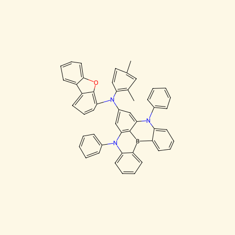 Cc1ccc(N(c2cc3c4c(c2)N(c2ccccc2)c2ccccc2B4c2ccccc2N3c2ccccc2)c2cccc3c2oc2ccccc23)c(C)c1